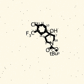 CC(C)(C)OC(=O)N1CCC(O)(c2ccc(Cl)c(C(F)(F)F)c2)CC1